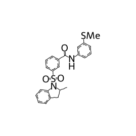 CSc1cccc(NC(=O)c2cccc(S(=O)(=O)N3c4ccccc4CC3C)c2)c1